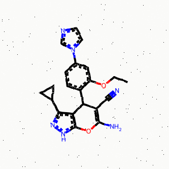 CCOc1cc(-n2ccnc2)ccc1C1C(C#N)=C(N)Oc2[nH]nc(C3CC3)c21